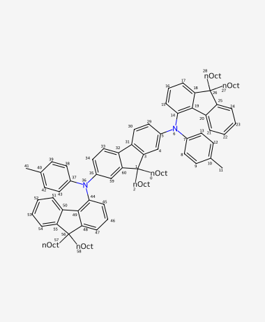 CCCCCCCCC1(CCCCCCCC)c2cc(N(c3ccc(C)cc3)c3cccc4c3-c3ccccc3C4(CCCCCCCC)CCCCCCCC)ccc2-c2ccc(N(c3ccc(C)cc3)c3cccc4c3-c3ccccc3C4(CCCCCCCC)CCCCCCCC)cc21